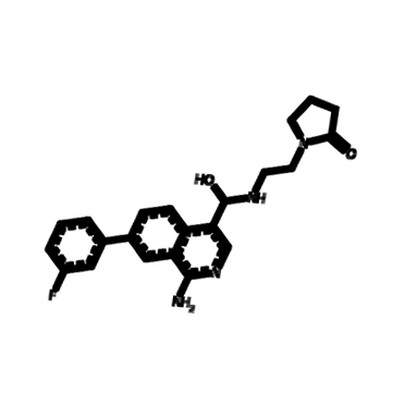 Nc1ncc(C(O)NCCN2CCCC2=O)c2ccc(-c3cccc(F)c3)cc12